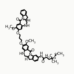 COc1cc2c(cc1OCCCOc1cc3c(cc1OC)C(=O)N1c4cc(NC(=O)CCC(C)(C)SSC)ccc4C[C@H]1CN3)NC[C@@H]1Cc3ccccc3N1C2=O